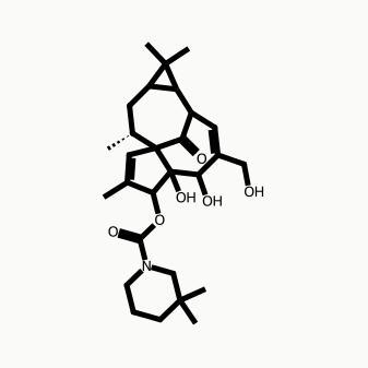 CC1=CC23C(=O)C(C=C(CO)C(O)C2(O)C1OC(=O)N1CCCC(C)(C)C1)C1C(C[C@H]3C)C1(C)C